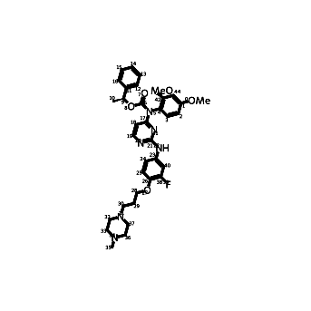 COc1ccc(N(C(=O)O[C@@H](C)c2ccccc2)c2ccnc(Nc3ccc(OCCCN4CCN(C)CC4)c(F)c3)n2)c(OC)c1